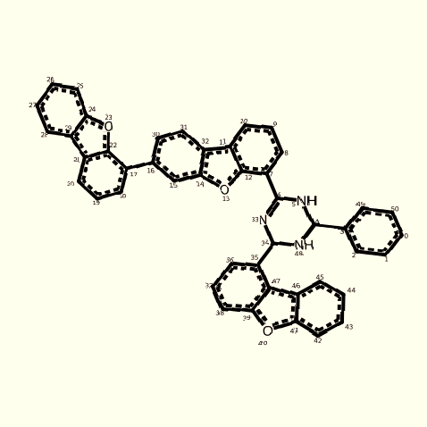 c1ccc(C2NC(c3cccc4c3oc3cc(-c5cccc6c5oc5ccccc56)ccc34)=NC(c3cccc4oc5ccccc5c34)N2)cc1